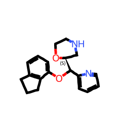 c1ccc(C(Oc2cccc3c2CCC3)[C@@H]2CNCCO2)nc1